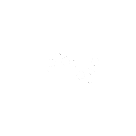 COc1ncc(-c2ccc3nc(N)c(-c4cccc(NC(=O)O)c4)cc3c2)cc1NS(=O)(=O)c1ccc(F)cc1F